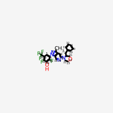 Cc1nn(-c2cc(C(F)(F)F)c(F)c(O)c2F)c2cnc(N3CCOCC3Cc3ccccc3)cc12